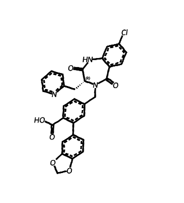 O=C(O)c1ccc(CN2C(=O)c3ccc(Cl)cc3NC(=O)[C@H]2Cc2ccccn2)cc1-c1ccc2c(c1)OCO2